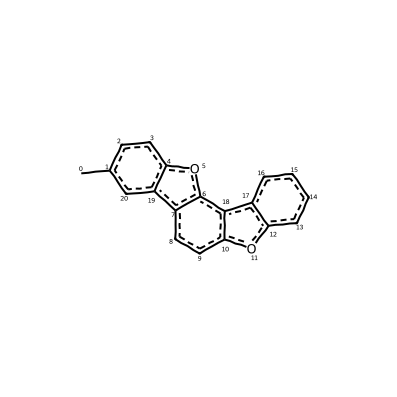 Cc1ccc2oc3c(ccc4oc5ccccc5c43)c2c1